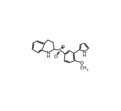 COc1ccc(S(=O)(=O)C2CCc3ccccc3N2)cc1-c1ccc[nH]1